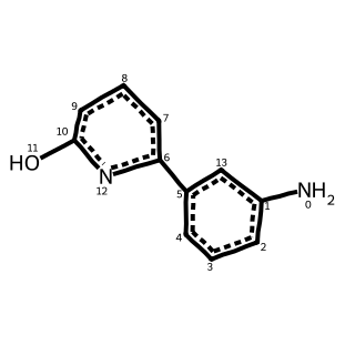 Nc1cccc(-c2cccc(O)n2)c1